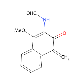 C=C1C(=O)C(NC=O)=C(OC)c2ccccc21